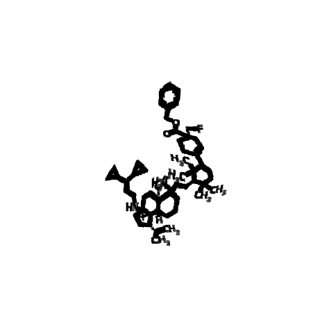 C=C(C)[C@@H]1CC[C@]2(NCC=C(C3CC3)C3CC3)CC[C@]3(C)[C@H](CCC[C@@]3(C)CC[C@@H]3C(C)(C)CC=C(C4=CC[C@](CF)(C(=O)OCc5ccccc5)CC4)C3(C)C)[C@@H]12